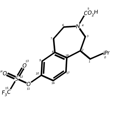 CC(C)CC1CN(C(=O)O)CCc2cc(OS(=O)(=O)C(F)(F)F)ccc21